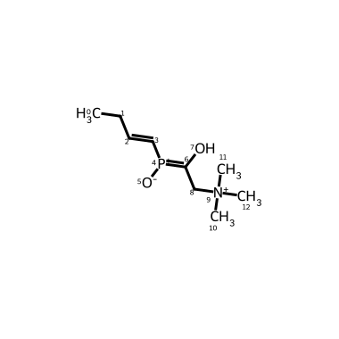 CCC=C[P+]([O-])=C(O)C[N+](C)(C)C